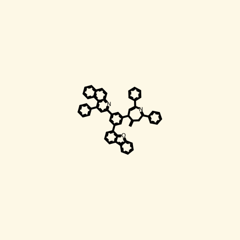 C=C1CC(c2ccccc2)=NC(c2ccccc2)=CC1c1cc(-c2cc(-c3ccccc3)c3c(ccc4ccccc43)n2)cc(-c2cccc3c2oc2ccccc23)c1